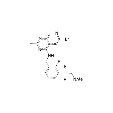 CNCC(F)(F)c1cccc(C(C)Nc2nc(C)nc3cnc(Br)cc23)c1F